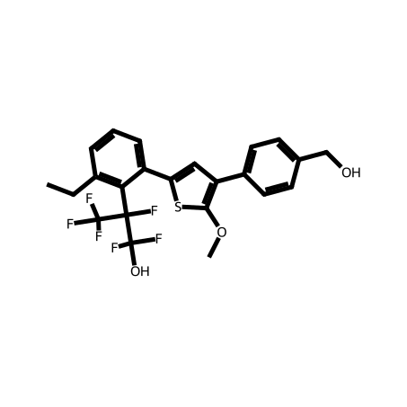 CCc1cccc(-c2cc(-c3ccc(CO)cc3)c(OC)s2)c1C(F)(C(O)(F)F)C(F)(F)F